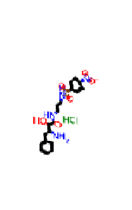 Cl.NC(Cc1ccccc1)C(O)C(=O)NCCCNS(=O)(=O)c1ccc([N+](=O)[O-])cc1